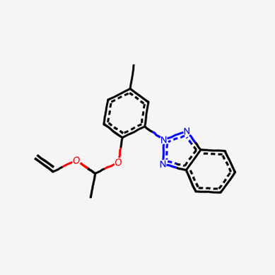 C=COC(C)Oc1ccc(C)cc1-n1nc2ccccc2n1